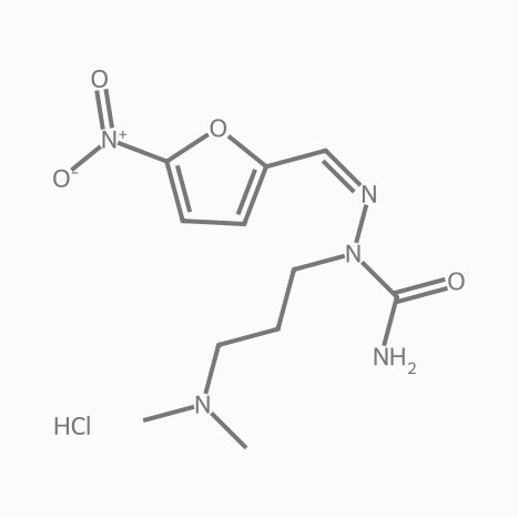 CN(C)CCCN(/N=C\c1ccc([N+](=O)[O-])o1)C(N)=O.Cl